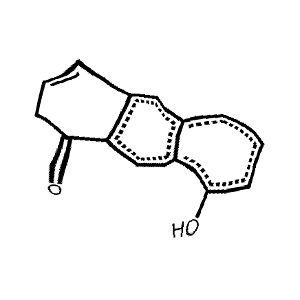 O=C1CC=Cc2cc3cccc(O)c3cc21